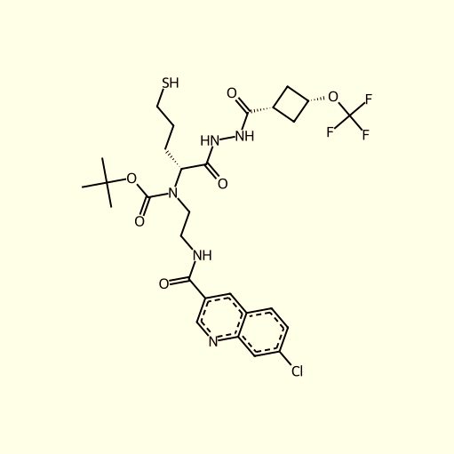 CC(C)(C)OC(=O)N(CCNC(=O)c1cnc2cc(Cl)ccc2c1)[C@H](CCCS)C(=O)NNC(=O)[C@H]1C[C@@H](OC(F)(F)F)C1